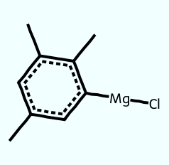 Cc1cc(C)c(C)[c]([Mg][Cl])c1